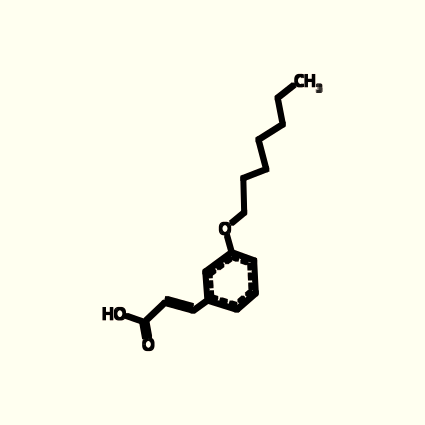 CCCCCCCOc1cccc(C=CC(=O)O)c1